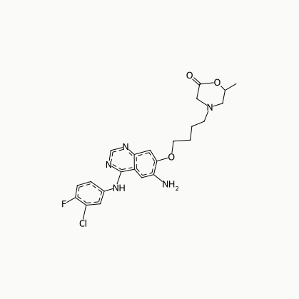 CC1CN(CCCCOc2cc3ncnc(Nc4ccc(F)c(Cl)c4)c3cc2N)CC(=O)O1